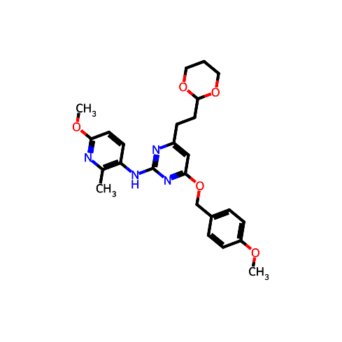 COc1ccc(COc2cc(CCC3OCCCO3)nc(Nc3ccc(OC)nc3C)n2)cc1